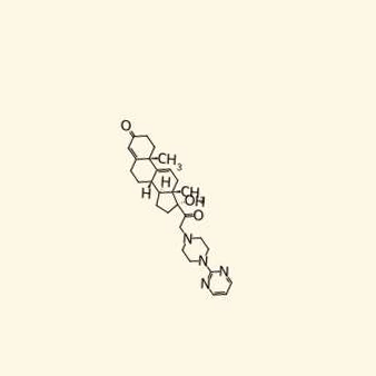 C[C@]12CCC(=O)C=C1CC[C@@H]1C2=CC[C@@]2(C)[C@H]1CC[C@]2(O)C(=O)CN1CCN(c2ncccn2)CC1